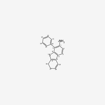 Nc1ccc2c3c(sc2c1-c1ccccc1)CCC=C3